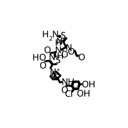 Nc1nc(/C(=N/OCC=O)C(=O)N[C@H]2C(=O)N3C(C(=O)O)=C(C[N+]45CCC(CNC(=O)c6ccc(O)c(O)c6Cl)(CC4)CC5)CS[C@H]23)cs1